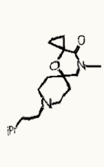 CC(C)CCN1CCC2(CC1)CN(C)C(=O)C1(CC1)O2